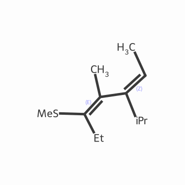 C/C=C(\C(C)=C(/CC)SC)C(C)C